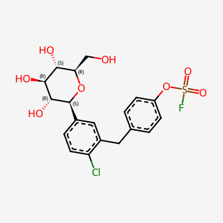 O=S(=O)(F)Oc1ccc(Cc2cc([C@@H]3O[C@H](CO)[C@@H](O)[C@H](O)[C@H]3O)ccc2Cl)cc1